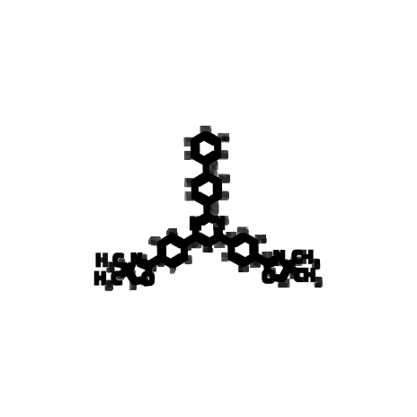 CC1(C)COC(c2ccc(-c3cc(-c4ccc(C5=NC(C)(C)CO5)cc4)nc(-c4ccc(-c5ccccc5)cc4)n3)cc2)=N1